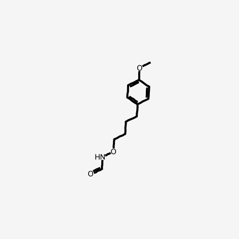 COc1ccc(CCCCONC=O)cc1